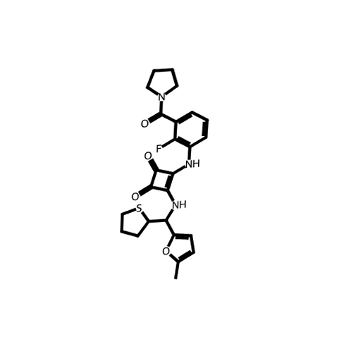 Cc1ccc(C(Nc2c(Nc3cccc(C(=O)N4CCCC4)c3F)c(=O)c2=O)C2CCCS2)o1